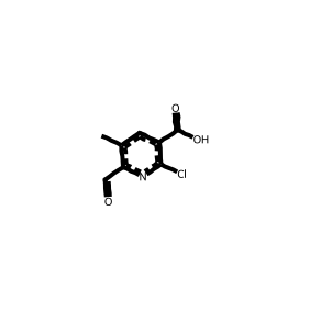 Cc1cc(C(=O)O)c(Cl)nc1C=O